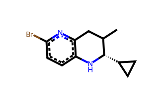 CC1Cc2nc(Br)ccc2N[C@H]1C1CC1